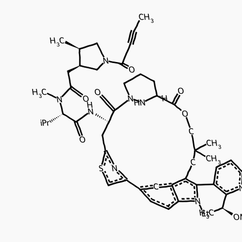 CC#CC(=O)N1C[C@@H](CC(=O)N(C)[C@H](C(=O)N[C@H]2Cc3nc(cs3)-c3ccc4c(c3)c(c(-c3cccnc3[C@H](C)OC)n4CC)CC(C)(C)COC(=O)[C@@H]3CCCN(N3)C2=O)C(C)C)[C@@H](C)C1